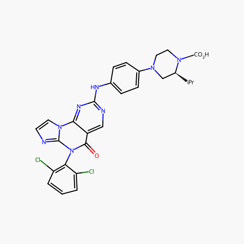 CC(C)[C@H]1CN(c2ccc(Nc3ncc4c(=O)n(-c5c(Cl)cccc5Cl)c5nccn5c4n3)cc2)CCN1C(=O)O